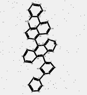 c1ccc(-c2cccc(-c3c4ccccc4c(-c4ccc5c6c(cccc46)-c4ccccc4S5)c4ccccc34)c2)cc1